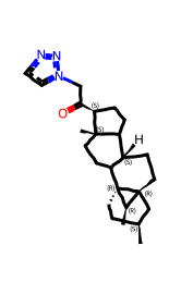 C[C@H]1CC[C@]23C4CC[C@@]5(C)C(CC[C@@H]5C(=O)Cn5ccnn5)[C@@H]4CC[C@@]2(C1)[C@H]3C